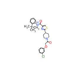 CC(C)(C)c1ccccc1NC(=O)c1csc(C2CCN(C(=O)COc3cccc(Cl)c3)CC2)n1